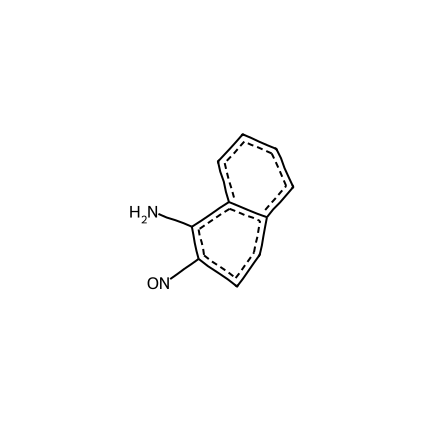 Nc1c(N=O)ccc2ccccc12